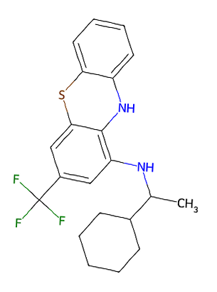 CC(Nc1cc(C(F)(F)F)cc2c1Nc1ccccc1S2)C1CCCCC1